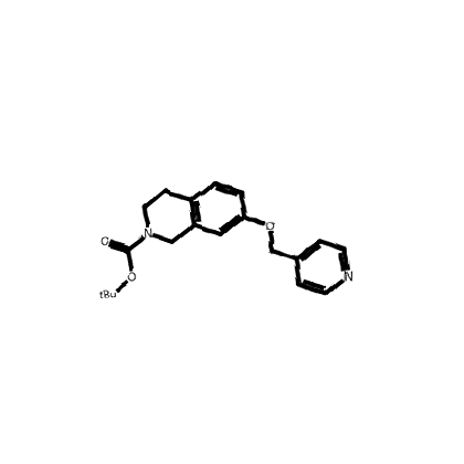 CC(C)(C)OC(=O)N1CCc2ccc(OCc3ccncc3)cc2C1